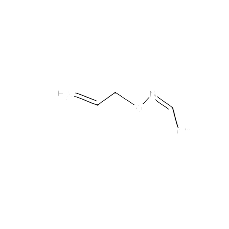 C=CCO/N=C\CCC